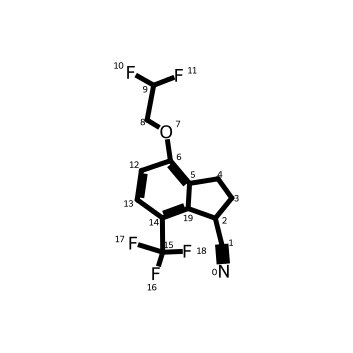 N#CC1CCc2c(OCC(F)F)ccc(C(F)(F)F)c21